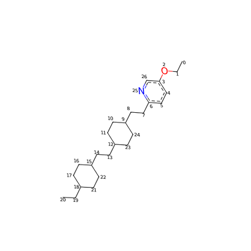 CCOc1ccc(CCC2CCC(CCC3CCC(CC)CC3)CC2)nc1